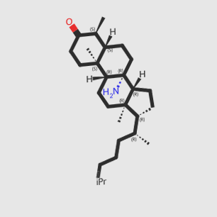 CC(C)CCC[C@@H](C)[C@H]1CC[C@@H]2[C@]1(C)CC[C@@H]1[C@@]3(C)CCC(=O)[C@@H](C)[C@@H]3CC[C@@]21N